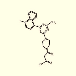 Cc1ccc(-c2cc(N3CCN(C(=O)CC(=O)C(C)C)CC3)nc(N)n2)c2ccccc12